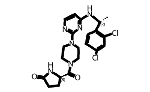 C[C@@H](Nc1ccnc(N2CCN(C(=O)[C@H]3CCC(=O)N3)CC2)n1)c1ccc(Cl)cc1Cl